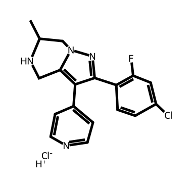 CC1Cn2nc(-c3ccc(Cl)cc3F)c(-c3ccncc3)c2CN1.[Cl-].[H+]